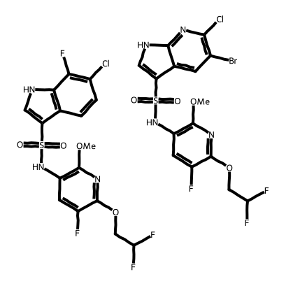 COc1nc(OCC(F)F)c(F)cc1NS(=O)(=O)c1c[nH]c2c(F)c(Cl)ccc12.COc1nc(OCC(F)F)c(F)cc1NS(=O)(=O)c1c[nH]c2nc(Cl)c(Br)cc12